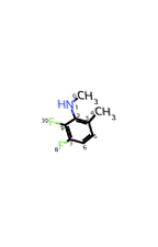 CNc1c(C)ccc(F)c1F